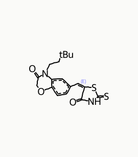 CC(C)(C)CCN1C(=O)COc2ccc(/C=C3/SC(=S)NC3=O)cc21